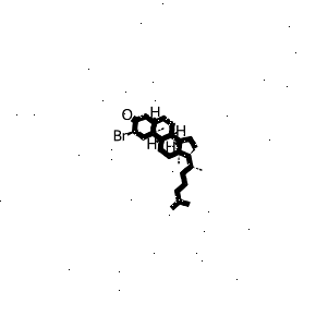 CC(C)CCC[C@@H](C)[C@H]1CC[C@H]2[C@@H]3CC[C@H]4CC(=O)[C@H](Br)C[C@]4(C)[C@H]3CC[C@]12C